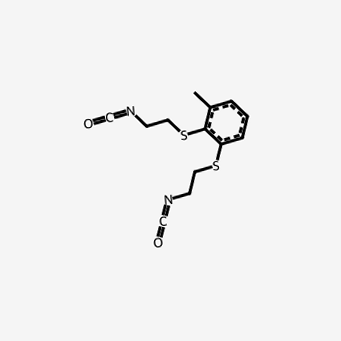 Cc1cccc(SCCN=C=O)c1SCCN=C=O